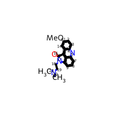 COc1ccc2nc3cccc4c3c(c2c1)C(=O)N4CCN(C)C